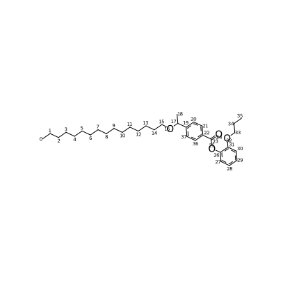 CCCCCCCCCCCCCCCCOC(C)c1ccc(C(=O)Oc2ccccc2OCCC)cc1